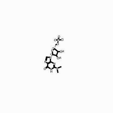 CN(C)c1nc2c(ncn2[C@@H]2O[C@H](COP(=O)(Cl)Cl)C(O)C2O)c(=O)[nH]1